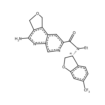 CCN(C(=O)c1cc2c3c(c(N)nc2cn1)COC3)[C@H]1COc2cc(C(F)(F)F)ccc21